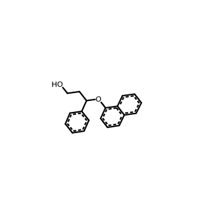 OCCC(Oc1cccc2ccccc12)c1ccccc1